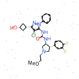 COCCN1C[C@@H](NC(=O)Nc2c(Cl)c([C@H]3C[C@@H](O)C3)nn2-c2ccccc2)[C@H](c2ccc(F)c(F)c2)C1